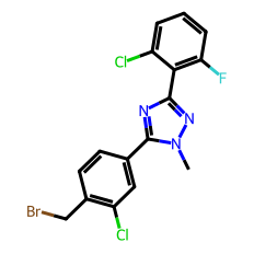 Cn1nc(-c2c(F)cccc2Cl)nc1-c1ccc(CBr)c(Cl)c1